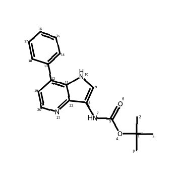 CC(C)(C)OC(=O)Nc1c[nH]c2c(-c3ccccc3)ccnc12